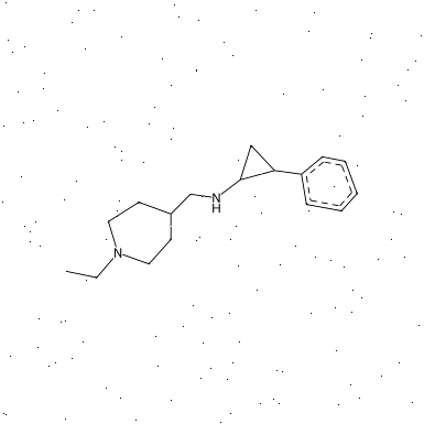 CCN1CCC(CNC2CC2c2ccccc2)CC1